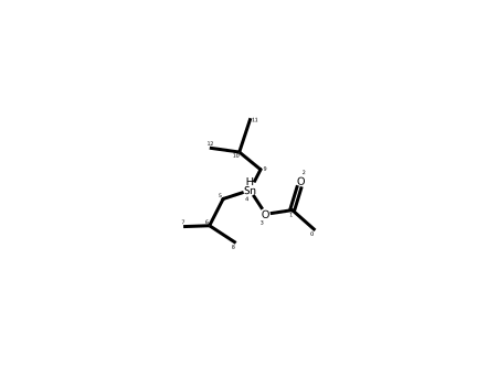 CC(=O)[O][SnH]([CH2]C(C)C)[CH2]C(C)C